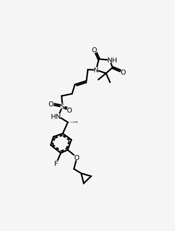 C[C@@H](NS(=O)(=O)CC/C=C/CN1C(=O)NC(=O)C1(C)C)c1ccc(F)c(OCC2CC2)c1